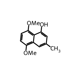 COc1ccc(OC)c2c(O)cc(C)cc12